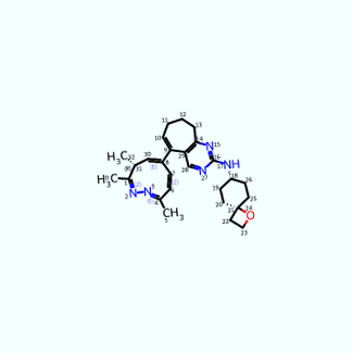 C/C1=N/N=C(C)/C=C\C(C2=CCCCc3nc(N[C@H]4CC[C@]5(CCO5)CC4)ncc32)=C/[C@H]1C